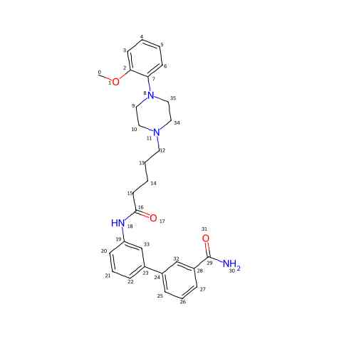 COc1ccccc1N1CCN(CCCCC(=O)Nc2cccc(-c3cccc(C(N)=O)c3)c2)CC1